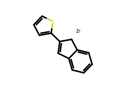 [CH]1C(c2cccs2)=Cc2ccccc21.[Zr]